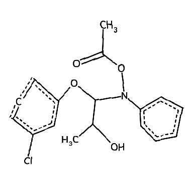 CC(=O)ON(c1ccccc1)C(Oc1cccc(Cl)c1)C(C)O